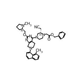 Cc1cccc2cccc(N3CCc4c(nc(OC[C@H]5CCCN5C)nc4N4CCN(CC(=O)OCc5ccccc5)[C@@H](CC#N)C4)C3)c12